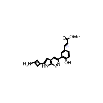 COC(=O)/C=C/c1ccc(O)c(-c2cc3cc(C45CC(N)(C4)C5)[nH]c3nn2)c1